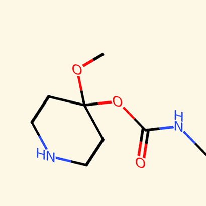 CNC(=O)OC1(OC)CCNCC1